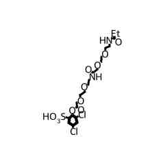 CCC(=O)NCCOCCOCC(=O)NCCOCCOCC(=O)Oc1c(Cl)cc(Cl)cc1S(=O)(=O)O